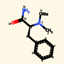 CON(C)[C@@H](Cc1ccccc1)C(N)=O